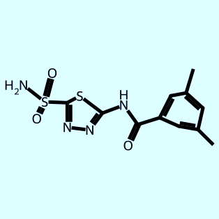 Cc1cc(C)cc(C(=O)Nc2nnc(S(N)(=O)=O)s2)c1